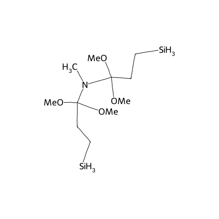 COC(CC[SiH3])(OC)N(C)C(CC[SiH3])(OC)OC